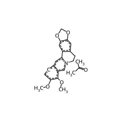 CC(C)=O.COc1ccc2cc3[n+](cc2c1OC)CCc1cc2c(cc1-3)OCO2